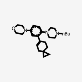 CCCCN1CCN(c2ccc(N3CCOCC3)cc2C2=CCC3(CC2)CC3)CC1